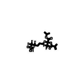 C=C(C)C(=O)OC(OCCCC(F)(F)C(F)(F)S(=O)(=O)O)(C(=O)OC(C)C)C(F)(F)F